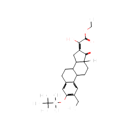 CCOC(=O)C(O)=C1CC2C3CCc4cc(O[Si](C)(C)C(C)(C)C)c(CC)cc4C3CCC2(C)C1=O